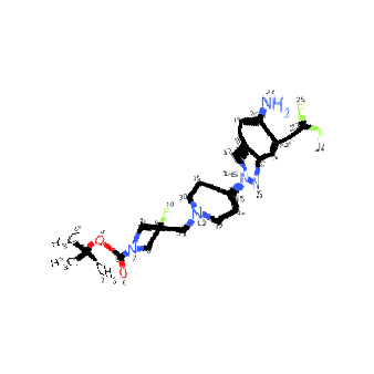 CC(C)(C)OC(=O)N1CC(F)(CN2CCC(n3cc4cc(N)c(C(F)F)cc4n3)CC2)C1